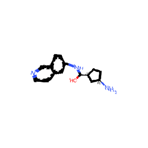 N[C@@H]1CC[C@H](C(O)Nc2ccc3cnccc3c2)C1